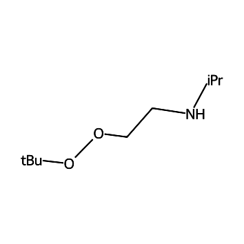 CC(C)NCCOOC(C)(C)C